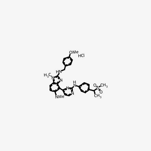 CNc1ccc2c(nc(NCc3ccc(OC)cc3)n2C)c1-c1ccnc(Nc2ccc(C(C)S(C)(=O)=O)cc2)n1.Cl